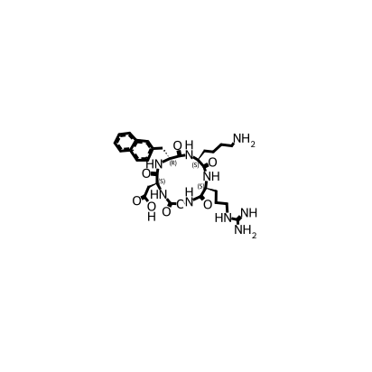 N=C(N)NCCC[C@@H]1NC(=O)[C@H](CCCCN)NC(=O)[C@@H](Cc2ccc3ccccc3c2)NC(=O)[C@H](CC(=O)O)NC(=O)CNC1=O